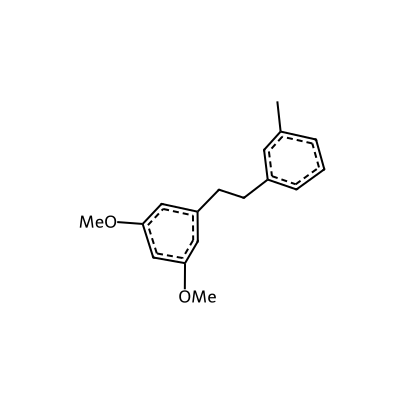 COc1cc(CCc2cccc(C)c2)cc(OC)c1